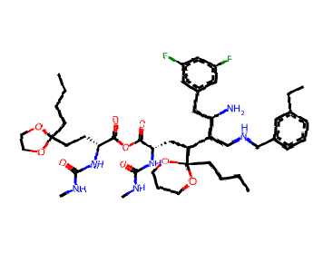 CCCCC1(CC[C@@H](NC(=O)NC)C(=O)OC(=O)[C@H](CC(C(CNCc2cccc(CC)c2)C(N)Cc2cc(F)cc(F)c2)C2(CCCC)OCCCO2)NC(=O)NC)OCCO1